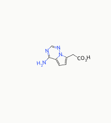 Nc1ncnn2c(CC(=O)O)ccc12